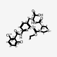 CCOC(=O)N1CSC[C@@H]1C(=O)N[C@@H](Cc1ccc(NC(=O)c2c(Cl)cccc2Cl)nc1)C(=O)O